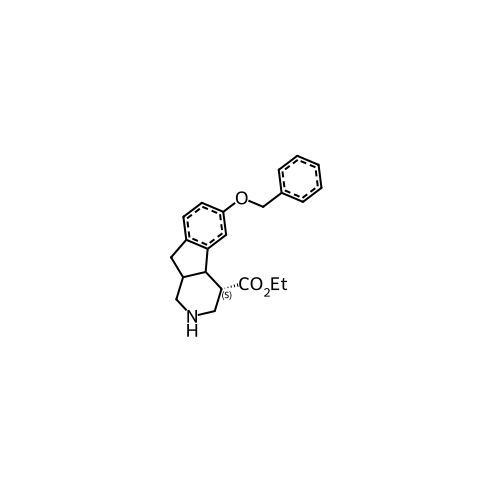 CCOC(=O)[C@@H]1CNCC2Cc3ccc(OCc4ccccc4)cc3C21